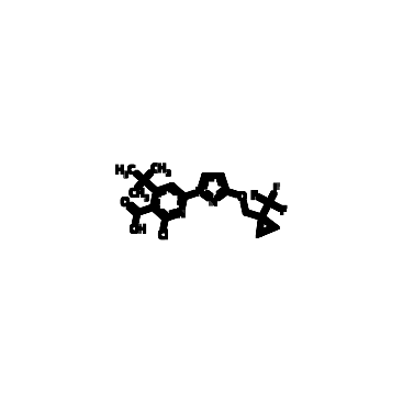 CC(C)(C)c1cc(-n2ccc(OCC3(C(F)(F)F)CC3)n2)nc(Cl)c1C(=O)O